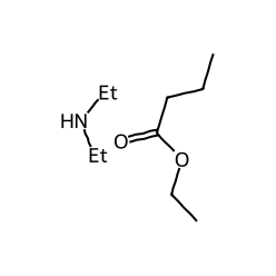 CCCC(=O)OCC.CCNCC